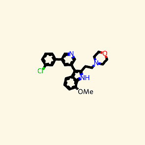 COc1cccc2c(-c3cncc(-c4cccc(Cl)c4)c3)c(CCN3CCOCC3)[nH]c12